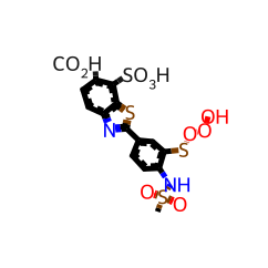 CS(=O)(=O)Nc1ccc(-c2nc3ccc(C(=O)O)c(S(=O)(=O)O)c3s2)cc1SOOO